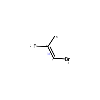 C/C(F)=C\Br